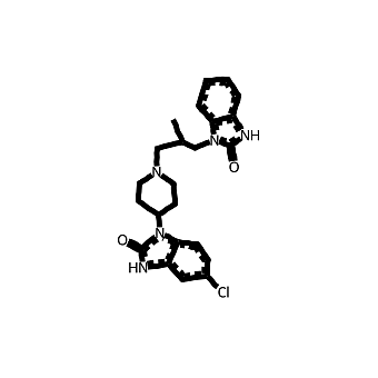 CC(CN1CCC(n2c(=O)[nH]c3cc(Cl)ccc32)CC1)Cn1c(=O)[nH]c2ccccc21